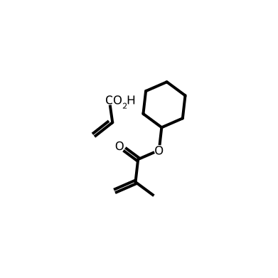 C=C(C)C(=O)OC1CCCCC1.C=CC(=O)O